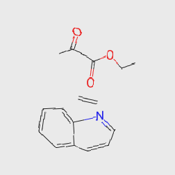 C=C.CCOC(=O)C(C)=O.c1ccc2ncccc2c1